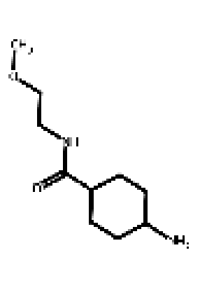 COCCNC(=O)C1CCC(N)CC1